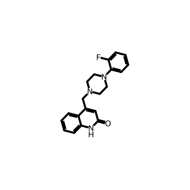 O=c1cc(CN2CCN(c3ccccc3F)CC2)c2ccccc2[nH]1